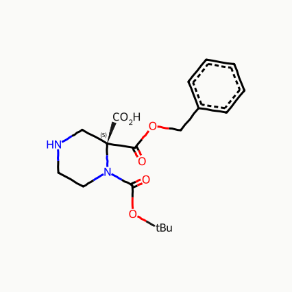 CC(C)(C)OC(=O)N1CCNC[C@]1(C(=O)O)C(=O)OCc1ccccc1